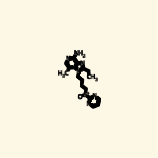 CCc1nc2c(N)ncc(C)c2n1CCCC[S+]([O-])c1ncccn1